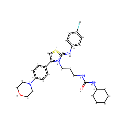 O=C(NCCCn1c(-c2ccc(N3CCOCC3)cc2)cs/c1=N\c1ccc(F)cc1)NC1CCCCC1